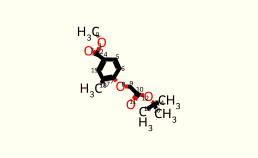 COC(=O)c1ccc(OCC(=O)OC(C)(C)C)c(C)c1